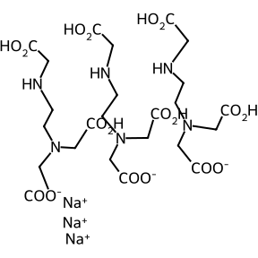 O=C([O-])CN(CCNCC(=O)O)CC(=O)O.O=C([O-])CN(CCNCC(=O)O)CC(=O)O.O=C([O-])CN(CCNCC(=O)O)CC(=O)O.[Na+].[Na+].[Na+]